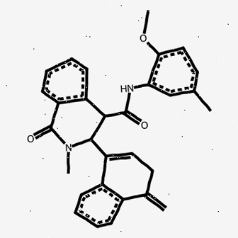 C=C1CC=C(C2C(C(=O)Nc3cc(C)ccc3OC)c3ccccc3C(=O)N2C)c2ccccc21